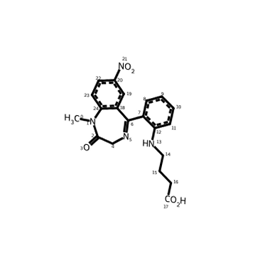 CN1C(=O)CN=C(c2ccccc2NCCCC(=O)O)c2cc([N+](=O)[O-])ccc21